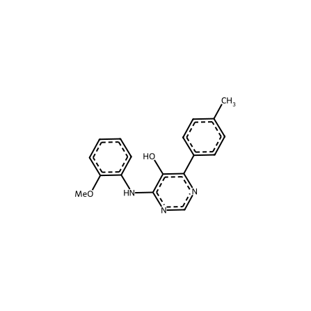 COc1ccccc1Nc1ncnc(-c2ccc(C)cc2)c1O